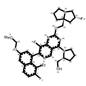 CCc1c(F)ccc2cc(OCOC)cc(-c3ncc4c(N5CCC[C@H]5CO)nc(OC[C@@]56CCCN5C[C@H](F)C6)nc4c3F)c12